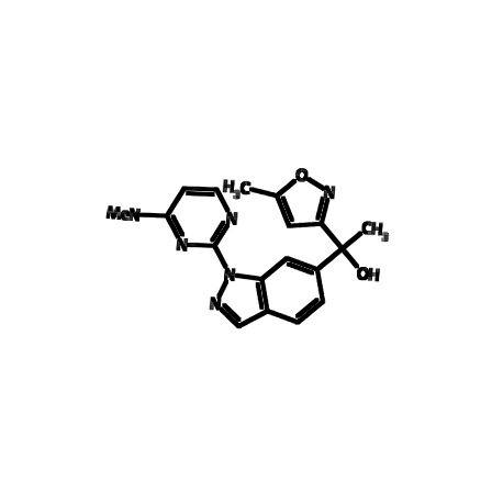 CNc1ccnc(-n2ncc3ccc(C(C)(O)c4cc(C)on4)cc32)n1